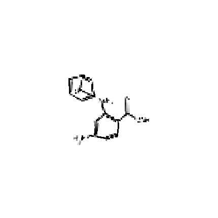 COC(=O)c1ccc(N)cc1[AsH2].O=C1c2cccc1c2